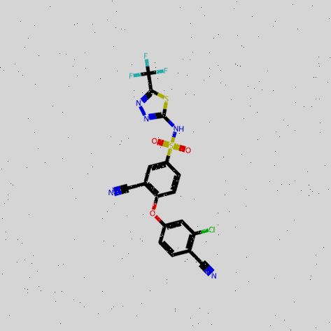 N#Cc1ccc(Oc2ccc(S(=O)(=O)Nc3nnc(C(F)(F)F)s3)cc2C#N)cc1Cl